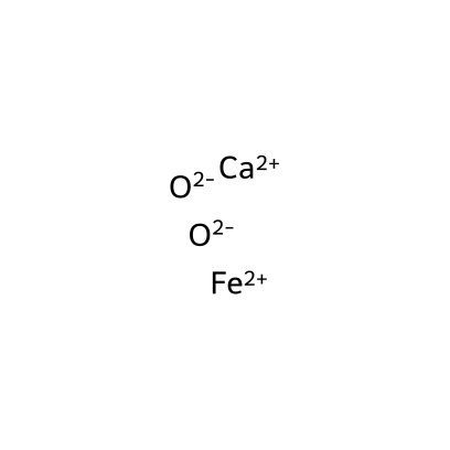 [Ca+2].[Fe+2].[O-2].[O-2]